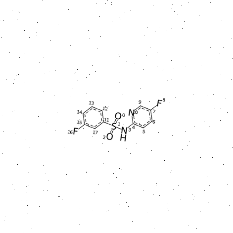 O=S(=O)(Nc1ccc(F)cn1)c1cccc(F)c1